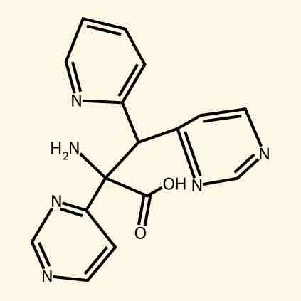 NC(C(=O)O)(c1ccncn1)C(c1ccccn1)c1ccncn1